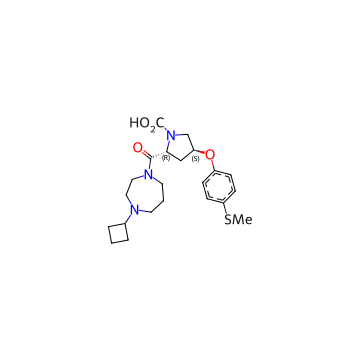 CSc1ccc(O[C@H]2C[C@H](C(=O)N3CCCN(C4CCC4)CC3)N(C(=O)O)C2)cc1